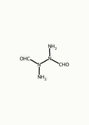 NN(C=O)N(N)C=O